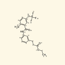 CCOC(=O)CCc1cccc(NC(=O)c2cc(OC(F)(F)F)ccc2N)c1